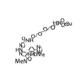 CNC(=O)c1cnc(Nc2ccc(C(=O)NCCOCCOCCOCCOCCNC(=O)OC(C)(C)C)cn2)cc1Nc1cccc(-c2ncccn2)c1OC